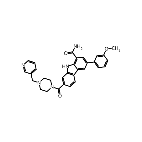 COc1cccc(-c2cc(C(N)=O)c3[nH]c4cc(C(=O)N5CCN(Cc6cccnc6)CC5)ccc4c3c2)c1